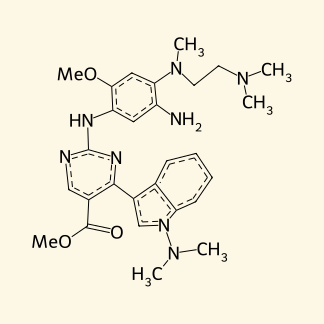 COC(=O)c1cnc(Nc2cc(N)c(N(C)CCN(C)C)cc2OC)nc1-c1cn(N(C)C)c2ccccc12